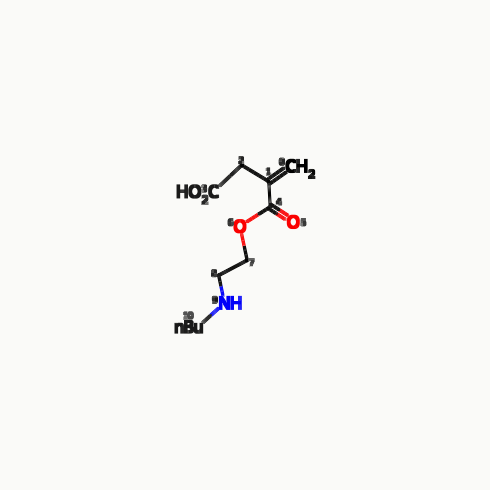 C=C(CC(=O)O)C(=O)OCCNCCCC